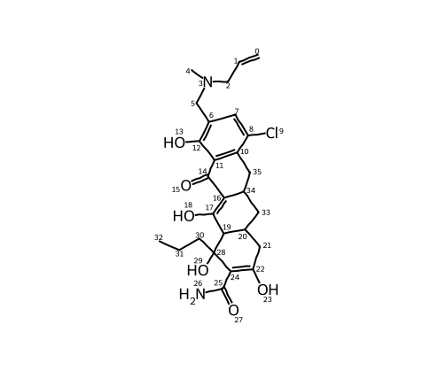 C=CCN(C)Cc1cc(Cl)c2c(c1O)C(=O)C1=C(O)C3C(CC(O)=C(C(N)=O)C3(O)CCC)CC1C2